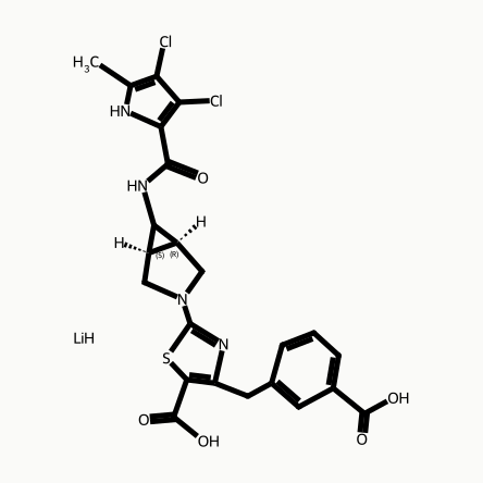 Cc1[nH]c(C(=O)NC2[C@H]3CN(c4nc(Cc5cccc(C(=O)O)c5)c(C(=O)O)s4)C[C@@H]23)c(Cl)c1Cl.[LiH]